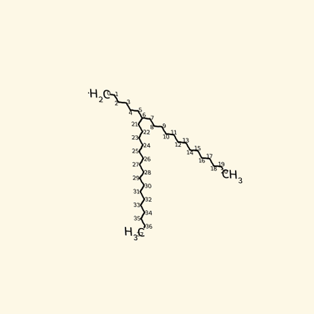 [CH2]CCCCCC(CCCCCCCCCCCCCC)CCCCCCCCCCCCCCCCC